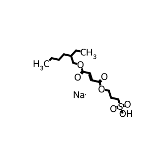 CCCCC(CC)COC(=O)C=CC(=O)OCCCS(=O)(=O)O.[Na]